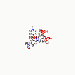 CN1CCC(S(=O)(=O)c2cc([N+](=O)[O-])ccc2N(CCCS(=O)(=O)O)CCCS(=O)(=O)O)CC1